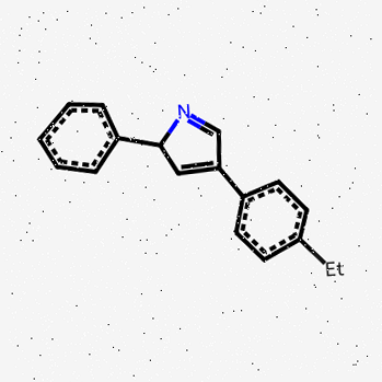 CCc1ccc(C2=CC(c3ccccc3)N=C2)cc1